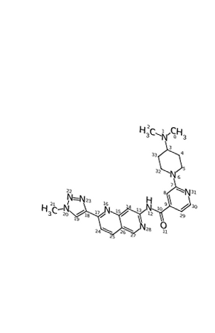 CN(C)C1CCN(c2cc(C(=O)Nc3cc4nc(-c5cn(C)nn5)ccc4cn3)ccn2)CC1